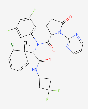 CC1([C@@H](C(=O)NC2CC(F)(F)C2)N(C(=O)[C@@H]2CCC(=O)N2c2ncccn2)c2cc(F)cc(F)c2)C=CC=CC1Cl